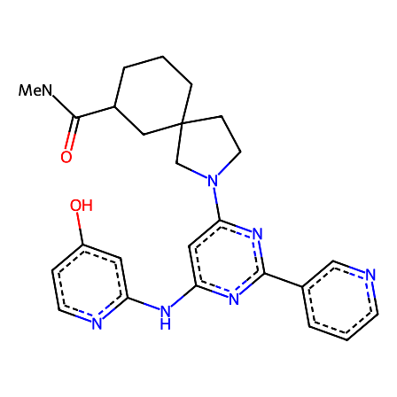 CNC(=O)C1CCCC2(CCN(c3cc(Nc4cc(O)ccn4)nc(-c4cccnc4)n3)C2)C1